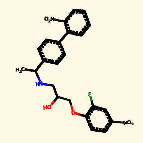 CC(NCC(O)COc1ccc([N+](=O)[O-])cc1F)c1ccc(-c2ccccc2[N+](=O)[O-])cc1